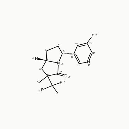 CC(F)(F)C1(C)C[C@@H]2CC[C@H](c3cncc(F)c3)N2C1=O